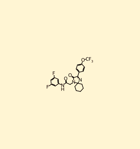 O=C(CN1C(=O)C(c2ccc(OC(F)(F)F)cc2)=NC12CCCCC2)Nc1cc(F)cc(F)c1